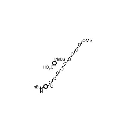 CCCCNc1ccc(C(=O)O)cc1.CCCCNc1ccc(C(=O)OCCOCCOCCOCCOCCOCCOCCOCCOCCOC)cc1